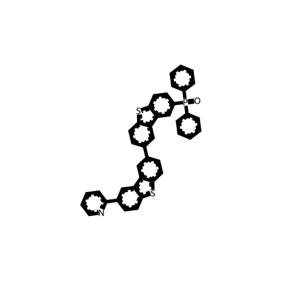 O=P(c1ccccc1)(c1ccccc1)c1ccc2sc3ccc(-c4ccc5sc6ccc(-c7ccccn7)cc6c5c4)cc3c2c1